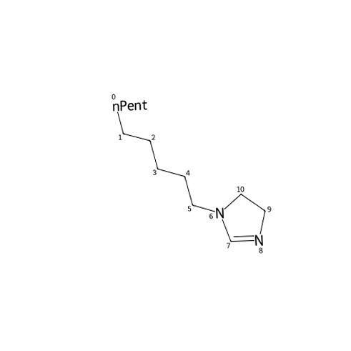 CCCCCCCCCCN1C=NCC1